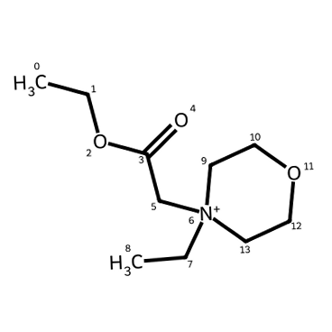 CCOC(=O)C[N+]1(CC)CCOCC1